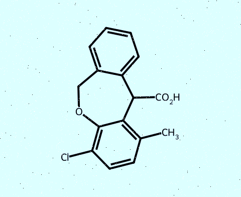 Cc1ccc(Cl)c2c1C(C(=O)O)c1ccccc1CO2